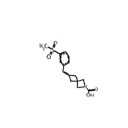 CS(=O)(=O)c1cccc(C=C2CC3(C2)CN(C(=O)O)C3)c1